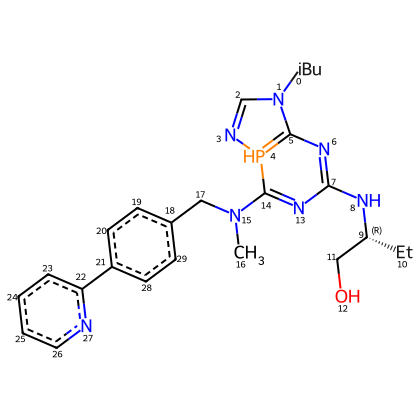 CCC(C)N1C=N[PH]2=C1N=C(N[C@H](CC)CO)N=C2N(C)Cc1ccc(-c2ccccn2)cc1